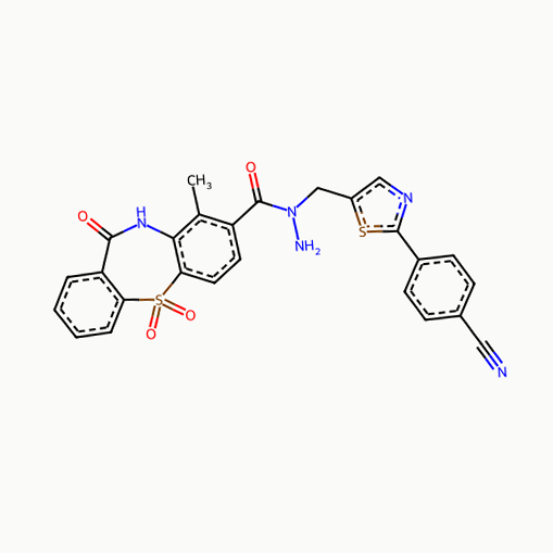 Cc1c(C(=O)N(N)Cc2cnc(-c3ccc(C#N)cc3)s2)ccc2c1NC(=O)c1ccccc1S2(=O)=O